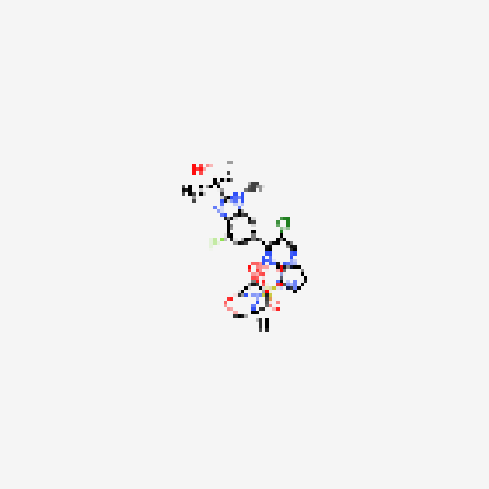 CC(C)n1c(C(C)(C)O)nc2c(F)cc(-c3nc(N[C@@H]4C[C@H]5CO[C@@H]([C@H]4O)N5S(=O)(=O)C4CCCC4)ncc3Cl)cc21